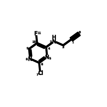 C#CCNc1nc(Cl)ncc1F